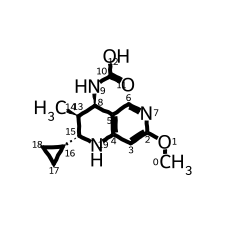 COc1cc2c(cn1)[C@H](NC(=O)O)[C@H](C)[C@@H](C1CC1)N2